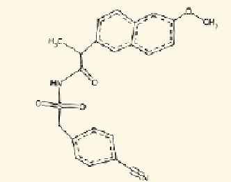 COc1ccc2cc(C(C)C(=O)NS(=O)(=O)Cc3ccc(C#N)cc3)ccc2c1